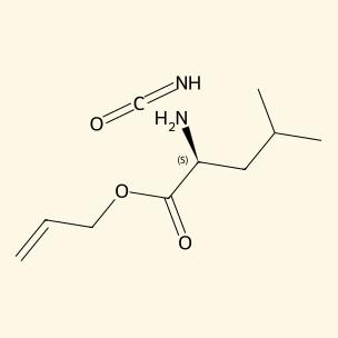 C=CCOC(=O)[C@@H](N)CC(C)C.N=C=O